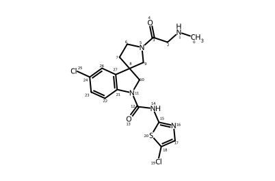 CNCC(=O)N1CCC2(C1)CN(C(=O)Nc1ncc(Cl)s1)c1ccc(Cl)cc12